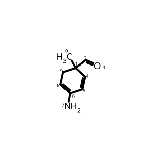 CC1(C=O)C=CC(N)=CC1